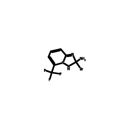 NC1(Br)N=C2C=CC=C(C(F)(F)F)N2N1